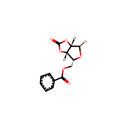 O=C1O[C@@H]2[C@H](O1)[C@@H](Br)O[C@@H]2COC(=O)c1ccccc1